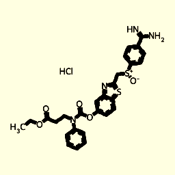 CCOC(=O)CCN(C(=O)Oc1ccc2sc(C[S+]([O-])c3ccc(C(=N)N)cc3)nc2c1)c1ccccc1.Cl